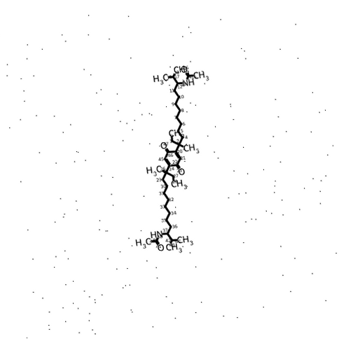 CCC(C)(CCCCCCCCC(NC(C)=O)C(C)C)C1=CC(=O)C(C(C)(CC)CCCCCCCCC(NC(C)=O)C(C)C)=CC1=O